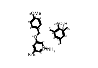 COc1ccc(COc2cc(Br)c[n+](N)c2)cc1.Cc1cc(C)c(S(=O)(=O)O)c(C)c1